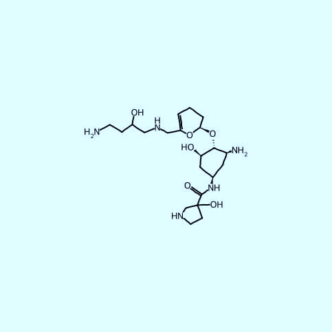 NCCC(O)CNCC1=CCC[C@@H](O[C@H]2[C@H](O)C[C@H](NC(=O)C3(O)CCNC3)C[C@@H]2N)O1